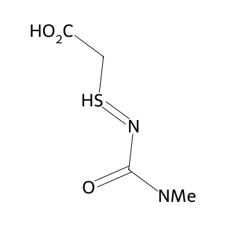 CNC(=O)N=[SH]CC(=O)O